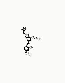 C=CCOc1cc(/C=C/c2ccc(C)cc2C#N)cc(CNCC2CNC2)c1